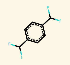 F[C](F)c1ccc(C(F)F)cc1